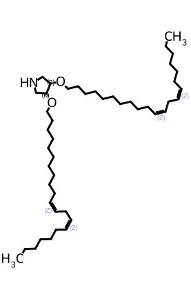 CCCCCC/C=C\C/C=C\CCCCCCCCCCO[C@@H]1CNC[C@H]1OCCCCCCCCCC/C=C\C/C=C\CCCCCC